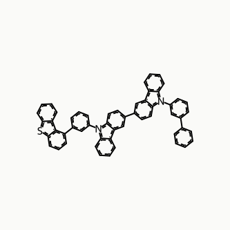 c1ccc(-c2cccc(-n3c4ccccc4c4cc(-c5ccc6c(c5)c5ccccc5n6-c5cccc(-c6cccc7sc8ccccc8c67)c5)ccc43)c2)cc1